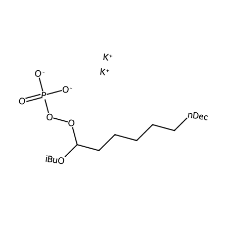 CCCCCCCCCCCCCCCC(OCC(C)C)OOP(=O)([O-])[O-].[K+].[K+]